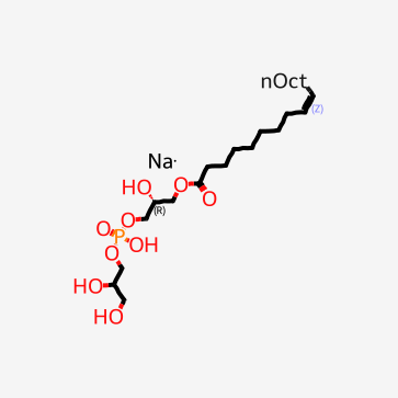 CCCCCCCC/C=C\CCCCCCCC(=O)OC[C@@H](O)COP(=O)(O)OCC(O)CO.[Na]